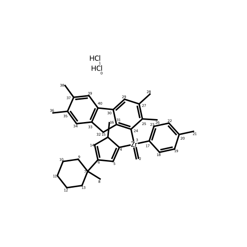 Cl.Cl.[CH2]=[Zr]([C]1=CC(C2(C)CCCCC2)=CC1C)([c]1ccc(C)cc1)[c]1c(C)c(C)cc2c1Cc1cc(C)c(C)cc1-2